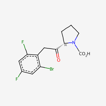 O=C(Cc1c(F)cc(F)cc1Br)[C@@H]1CCCN1C(=O)O